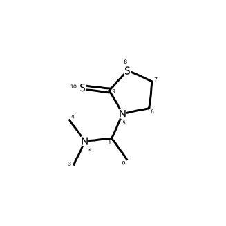 CC(N(C)C)N1CCSC1=S